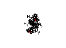 CC1(C)c2ccccc2P(=O)(c2ccccc2)c2ccc(N3c4ccccc4[Si](C)(C)c4cc5c(cc43)[Si](C)(C)c3ccccc3N5c3ccc4c(c3)C(C)(C)c3ccccc3P4(=O)c3ccccc3)cc21